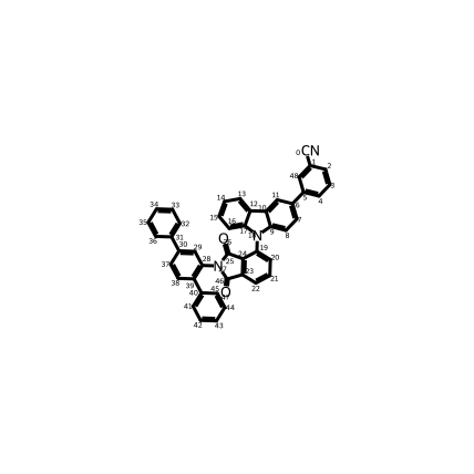 N#Cc1cccc(-c2ccc3c(c2)c2ccccc2n3-c2cccc3c2C(=O)N(c2cc(-c4ccccc4)ccc2-c2ccccc2)C3=O)c1